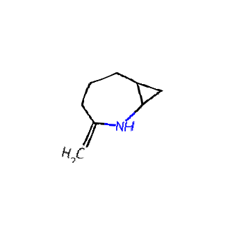 C=C1CCCC2CC2N1